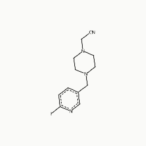 N#CCN1CCN(Cc2ccc(I)nc2)CC1